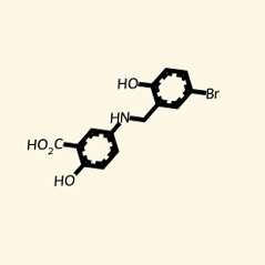 O=C(O)c1cc(NCc2cc(Br)ccc2O)ccc1O